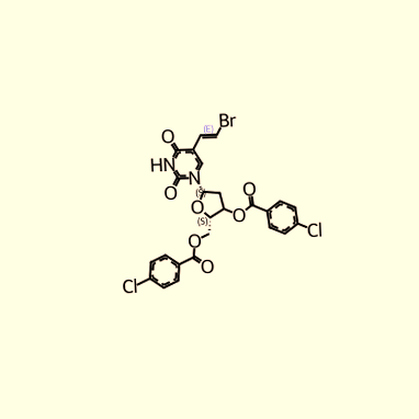 O=C(OC[C@@H]1O[C@H](n2cc(/C=C/Br)c(=O)[nH]c2=O)CC1OC(=O)c1ccc(Cl)cc1)c1ccc(Cl)cc1